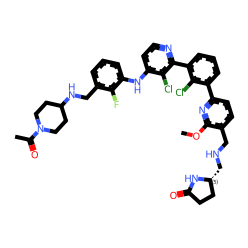 COc1nc(-c2cccc(-c3nccc(Nc4cccc(CNC5CCN(C(C)=O)CC5)c4F)c3Cl)c2Cl)ccc1CNC[C@@H]1CCC(=O)N1